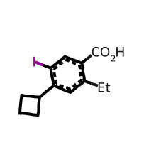 CCc1cc(C2CCC2)c(I)cc1C(=O)O